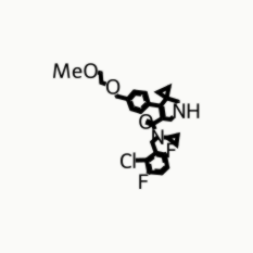 COCCOCc1ccc(C2=C(C(=O)N(Cc3c(F)ccc(F)c3Cl)C3CC3)CNCC23CC3)cc1